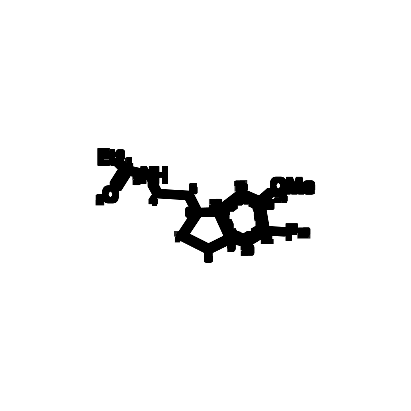 CCC(=O)NCCC1CCc2cc(F)c(OC)cc21